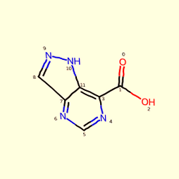 O=C(O)c1ncnc2cn[nH]c12